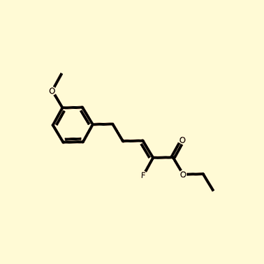 CCOC(=O)C(F)=CCCc1cccc(OC)c1